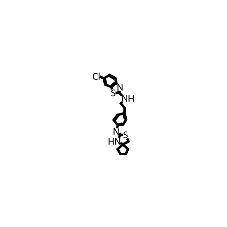 Clc1ccc2nc(NCCc3ccc(/N=C4/NC5(CCCC5)CS4)cc3)sc2c1